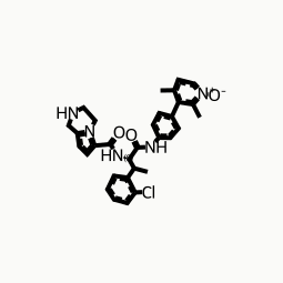 Cc1cc[n+]([O-])c(C)c1-c1ccc(NC(=O)[C@@H](NC(=O)c2ccc3n2CCNC3)C(C)c2ccccc2Cl)cc1